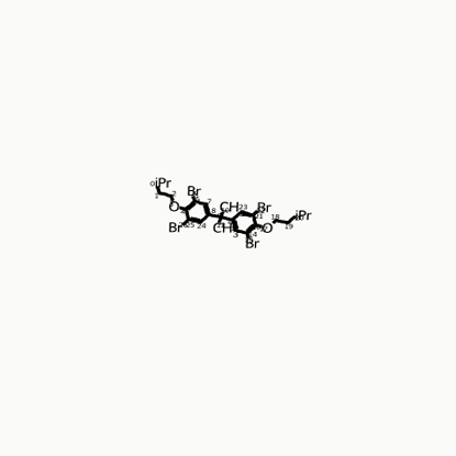 CC(C)CCOc1c(Br)cc(C(C)(C)c2cc(Br)c(OCCC(C)C)c(Br)c2)cc1Br